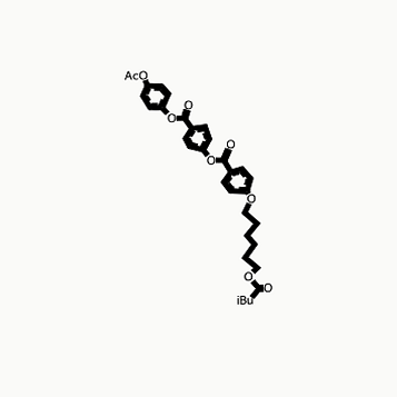 CCC(C)C(=O)OCCCCCCOc1ccc(C(=O)Oc2ccc(C(=O)Oc3ccc(OC(C)=O)cc3)cc2)cc1